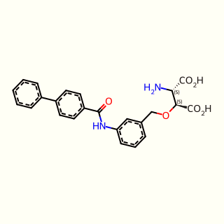 N[C@H](C(=O)O)[C@H](OCc1cccc(NC(=O)c2ccc(-c3ccccc3)cc2)c1)C(=O)O